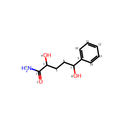 NC(=O)C(O)CCC(O)c1ccccc1